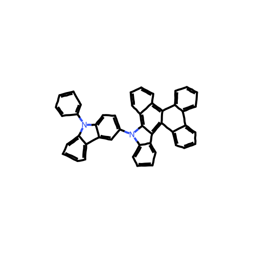 c1ccc(-n2c3ccccc3c3cc(-n4c5ccccc5c5c6c7ccccc7c7ccccc7c6c6ccccc6c54)ccc32)cc1